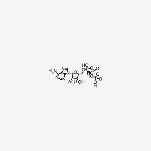 CC(=O)OC1C(O)[C@@H](COP(=O)(O)OP(=O)(O)OP(=O)(O)O)O[C@H]1n1cnc2c(N)ncnc21